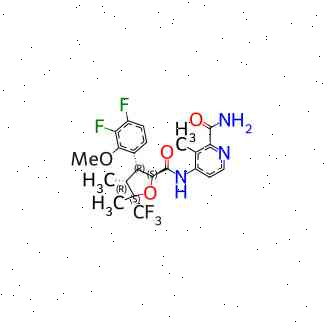 COc1c([C@@H]2[C@@H](C(=O)Nc3ccnc(C(N)=O)c3C)O[C@](C)(C(F)(F)F)[C@@H]2C)ccc(F)c1F